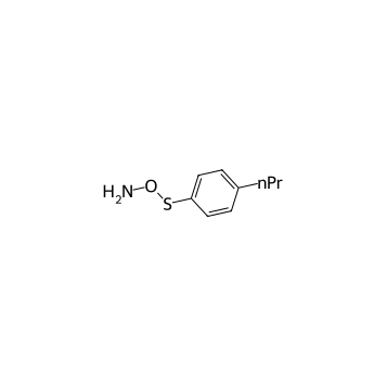 CCCc1ccc(SON)cc1